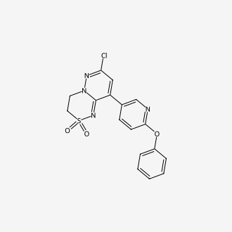 O=S1(=O)CCN2N=C(Cl)C=C(c3ccc(Oc4ccccc4)nc3)C2=N1